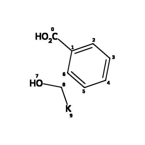 O=C(O)c1ccccc1.O[CH2][K]